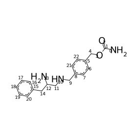 NC(=O)OCc1ccc(CNCC(N)Cc2ccccc2)cc1